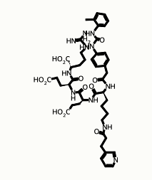 Cc1ccccc1NC(=O)Nc1ccc(CC(=O)N[C@@H](CCCCNC(=O)CCc2cccnc2)C(=O)N[C@@H](CCC(=O)O)C(=O)N[C@@H](CCC(=O)O)C(=O)N[C@@H](CCCNC(=N)N)C(=O)O)cc1